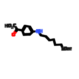 CCCCCCCCCCCCCCCCNc1ccc(C(=O)C(=O)O)cc1